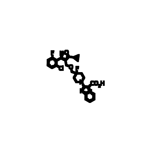 O=C(O)c1c(N2CCC(F)(COCc3c(-c4c(F)cccc4Cl)noc3C3CC3)CC2)nc2ccccn12